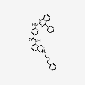 O=C(Nc1cccc2c1CCN(CCOCc1ccccc1)C2)c1ccc(Nc2nc(-c3ccccc3)c3ccccc3n2)cc1